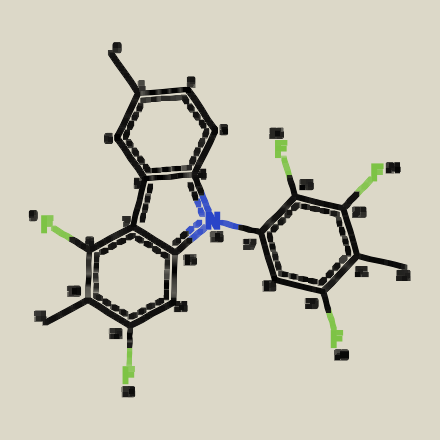 Cc1ccc2c(c1)c1c(F)c(C)c(F)cc1n2-c1cc(F)c(C)c(F)c1F